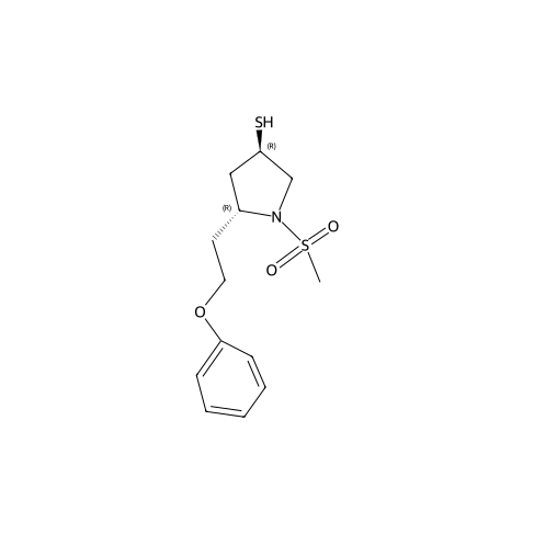 CS(=O)(=O)N1C[C@H](S)C[C@H]1CCOc1ccccc1